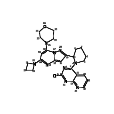 Clc1nc(N2CCCCC2c2cc3nc(N4CCC4)cc(N4CCOCC4)n3n2)c2cccnc2n1